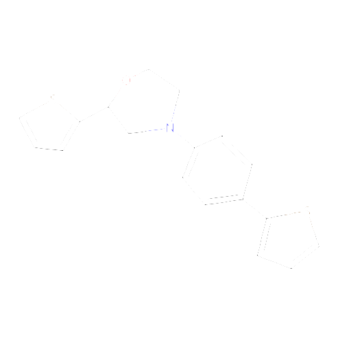 c1csc(-c2ccc(N3CCOC(c4cccs4)C3)cc2)c1